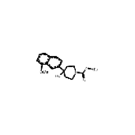 COc1cccc2ccc(C3(O)CCN(C(=O)OC(C)(C)C)CC3)cc12